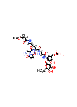 BC(=O)OCc1ccc(O[C@@H]2O[C@H](C(=O)O)[C@@H](O)[C@H](O)[C@H]2O)c(NC(=O)CCNC(=O)C(CCCCNC(=O)CC(C)(C)COC(C)(C)C)NC(=O)C(CN)N2C(=O)C=CC2=O)c1